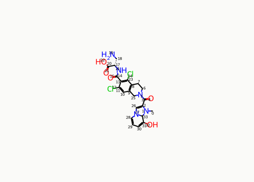 CN1C(C(=O)N2CCc3c(cc(Cl)c(C(=O)N[C@@H](CN)C(=O)O)c3Cl)C2)=CN2C=CC=C(O)C21